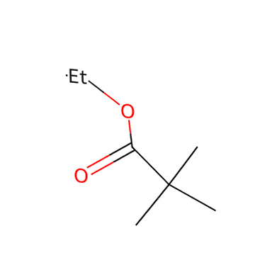 C[CH]OC(=O)C(C)(C)C